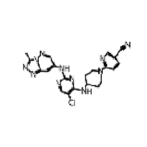 Cc1nnc2cc(Nc3ncc(Cl)c(NC4CCN(c5ccc(C#N)cn5)CC4)n3)cnn12